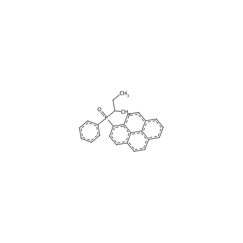 CCC(C)P(=O)(c1ccccc1)c1ccc2ccc3cccc4ccc1c2c34